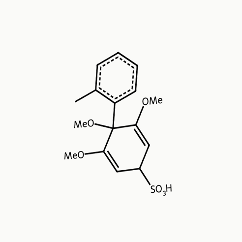 COC1=CC(S(=O)(=O)O)C=C(OC)C1(OC)c1ccccc1C